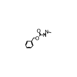 CN=NC(=O)OCc1ccccc1